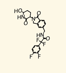 O=C1NC(O)CCC1N1Cc2cc(CNC(=O)C(F)(F)c3ccc(F)c(F)c3)ccc2C1=O